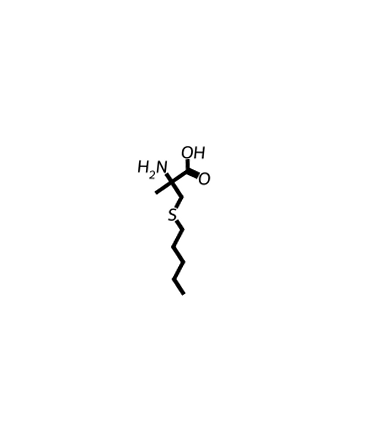 CCCCCSCC(C)(N)C(=O)O